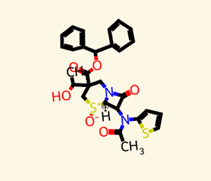 CC(=O)N(c1cccs1)C1C(=O)N2CC(C(=O)OC(c3ccccc3)c3ccccc3)(C(C)O)C[S+]([O-])[C@H]12